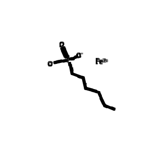 CCCCCCP(=O)([O-])[O-].[Fe+2]